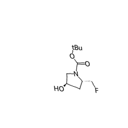 CC(C)(C)OC(=O)N1C[C@H](O)C[C@H]1CF